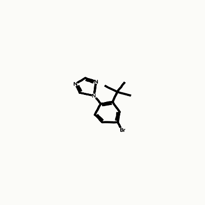 CC(C)(C)c1cc(Br)ccc1-n1cncn1